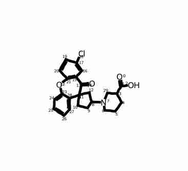 O=C(O)C1CCCN(C2CCC3(C2)C(=O)c2cc(Cl)ccc2Oc2ccccc23)C1